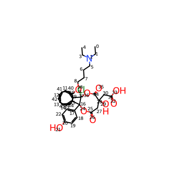 CCN(CC)CCCCOc1ccccc1C1(c2ccc(O)cc2)OC(=O)CC(O)(CC(=O)O)C(=O)OC1(Cl)c1ccccc1